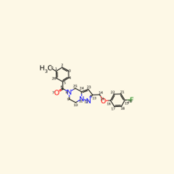 Cc1cccc(C(=O)N2CCn3nc(COc4ccc(F)cc4)cc3C2)c1